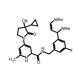 CN/C=C\C(NC)c1cc(F)cc(CNC(=O)C2C=C(N3CCC(C#N)(C4CC4)C3=O)C=C(C)N2)c1